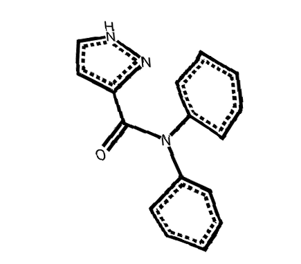 O=C(c1cc[nH]n1)N(c1ccccc1)c1ccccc1